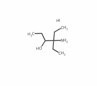 CCC(O)C(N)(CC)CC.I